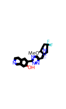 CO[C@@H]1/C(=C\c2cnc(-c3cc4ccncc4cc3O)nn2)CC2NC1CC2(F)F